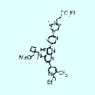 CCOC(=O)CCN1[C@H](C)CN(c2cnc(-c3nc4nc(-c5cnc(OCC)c(C(F)(F)F)c5)cc(N(C)CC5(COC)CCC5)c4[nH]3)cn2)C[C@@H]1C